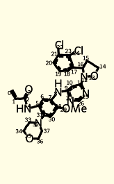 C=CC(=O)Nc1cc(Nc2cc(N3OCCC3c3cccc(Cl)c3Cl)ncn2)c(OC)cc1N1CCOCC1